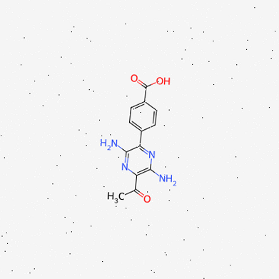 CC(=O)c1nc(N)c(-c2ccc(C(=O)O)cc2)nc1N